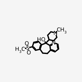 CN1CCC(C2(O)c3ccc(S(C)(=O)=O)cc3CCc3cccnc32)CC1